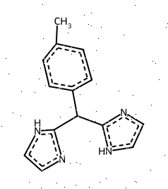 Cc1ccc(C(c2ncc[nH]2)c2ncc[nH]2)cc1